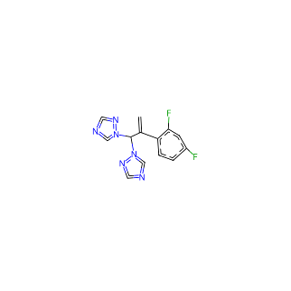 C=C(c1ccc(F)cc1F)C(n1cncn1)n1cncn1